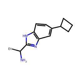 CCC(N)c1nc2cc(C3CCC3)ccc2[nH]1